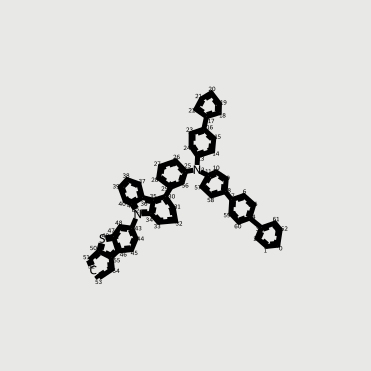 c1ccc(-c2ccc(-c3ccc(N(c4ccc(-c5ccccc5)cc4)c4cccc(-c5cccc6c5c5ccccc5n6-c5ccc6c(c5)sc5ccccc56)c4)cc3)cc2)cc1